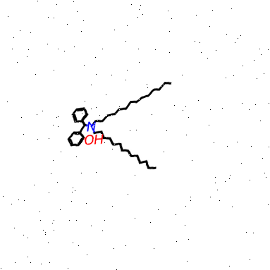 CCCCCCCCCCCCCCN(CCCCCCCCCCCCCC)C(c1ccccc1)c1ccccc1O